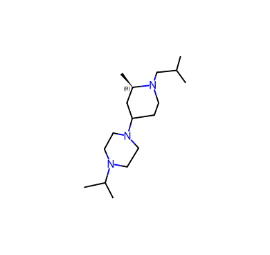 CC(C)CN1CCC(N2CCN(C(C)C)CC2)C[C@H]1C